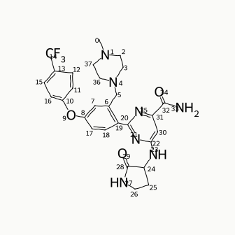 CN1CCN(Cc2cc(Oc3ccc(C(F)(F)F)cc3)ccc2-c2nc(NC3CCNC3=O)cc(C(N)=O)n2)CC1